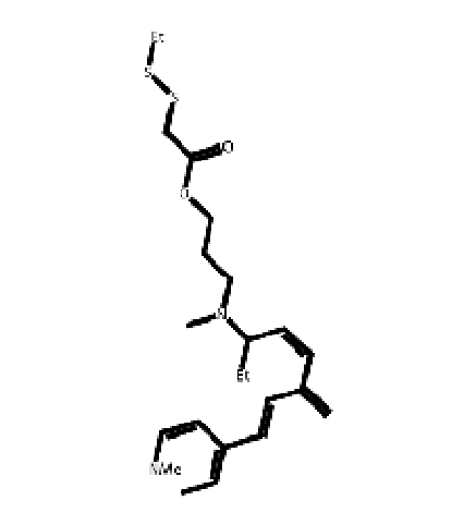 C=C(/C=C\C(CC)N(C)CCCOC(=O)CSSCC)/C=C/C(/C=C\NC)=C/C